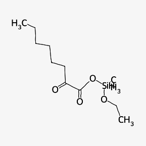 CCCCCCC(=O)C(=O)O[SiH](C)OCC